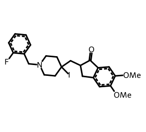 COc1cc2c(cc1OC)C(=O)C(CC1(I)CCN(Cc3ccccc3F)CC1)C2